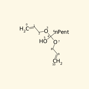 C=CCOC(O)(CCCCC)OCC=C